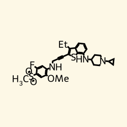 CCc1c(C#CCNc2cc(F)c(S(C)(=O)=O)cc2OC)sc2c(NC3CCN(C4CC4)CC3)cccc12